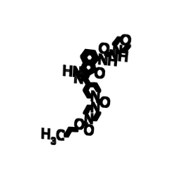 CCCCOC(=O)N1CCN(C(=O)N2CCC(c3n[nH]c4c3C(=O)c3c(NC(=O)NN5CCOCC5)cccc3-4)CC2)CC1